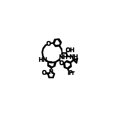 CC(C)c1cccc(C2(NC[C@@H](O)[C@@H]3Cc4cccc(c4)OCCCCNc4cc(cc(N5CCCC5=O)c4)C(=O)N3)CC2)c1